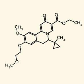 CCOC(=O)c1cn2c(cc1=O)-c1cc(OC)c(OCCOC)cc1CC2C1(C)CC1